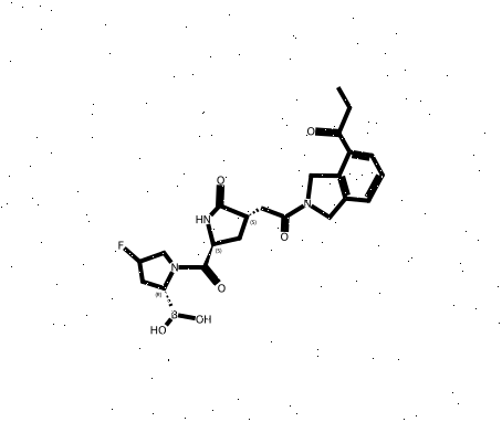 CCC(=O)c1cccc2c1CN(C(=O)C[C@@H]1C[C@@H](C(=O)N3CC(F)C[C@H]3B(O)O)NC1=O)C2